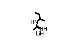 CCC(C)NC(C)=N.[LiH]